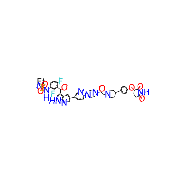 CCN(C)S(=O)(=O)Nc1ccc(F)c(C(=O)c2c[nH]c3ncc(-c4ccc(N5CCN(C(=O)CN6CCC(c7ccc(O[C@@H]8CCC(=O)NC8=O)cc7)CC6)CC5)nc4)cc23)c1F